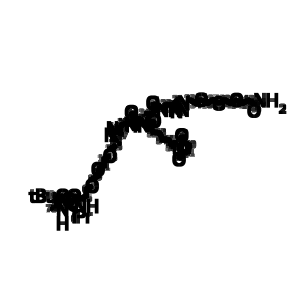 CC(C)[C@H](NC(=O)CCOCCOCCOCCn1cc(CNC(=O)[C@H](CCC(=O)NCc2cn(CCOCCOCCOCCC(N)=O)nn2)NC(=O)CCCCCN2C(=O)C=CC2=O)nn1)C(=O)N[C@@H](C)C(=O)C(C)(C)C